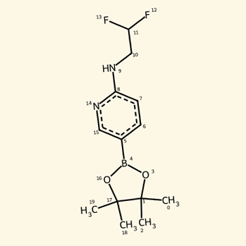 CC1(C)OB(c2ccc(NCC(F)F)nc2)OC1(C)C